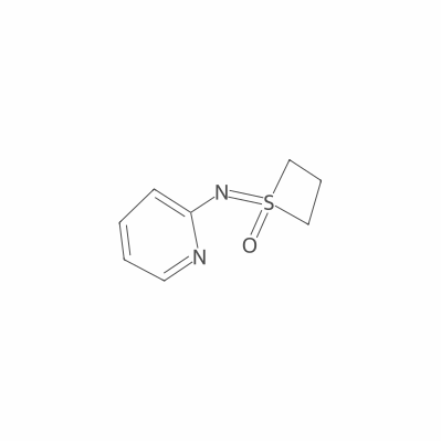 O=S1(=Nc2ccccn2)CCC1